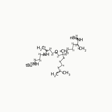 C=C(C)CCCCC(C)(CCCCC(=C)NCCCC)COCCC(=C)NCCCNC(C)(C)C